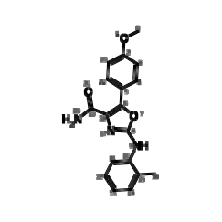 COc1ccc(-c2oc(Nc3ccccc3C)nc2C(N)=O)cc1